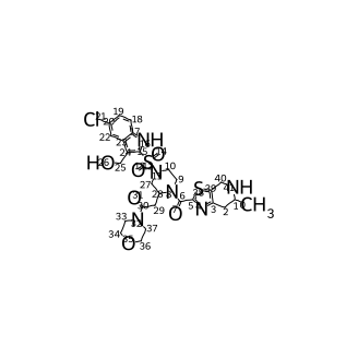 CC1Cc2nc(C(=O)N3CCN(S(=O)(=O)c4[nH]c5ccc(Cl)cc5c4CO)CC3CC(=O)N3CCOCC3)sc2CN1